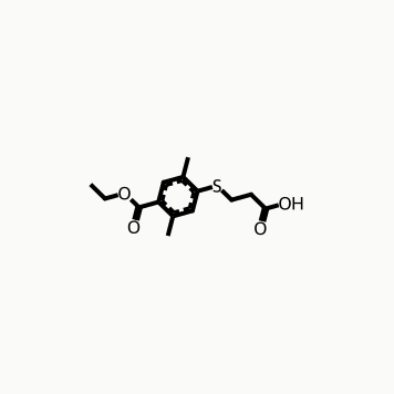 CCOC(=O)c1cc(C)c(SCCC(=O)O)cc1C